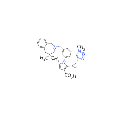 Cn1cc([C@@H]2C[C@H]2c2c(C(=O)O)ccn2-c2cccc(CN3Cc4ccccc4CC(C)(C)C3)c2)nn1